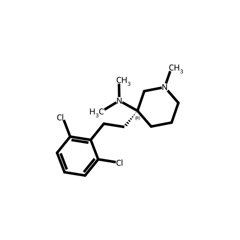 CN1CCC[C@@](CCc2c(Cl)cccc2Cl)(N(C)C)C1